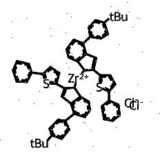 CC(C)(C)c1ccc(-c2cccc3c2C=C(c2ccc(-c4ccccc4)s2)[CH]3[Zr+2][CH]2C(c3ccc(-c4ccccc4)s3)=Cc3c(-c4ccc(C(C)(C)C)cc4)cccc32)cc1.[Cl-].[Cl-]